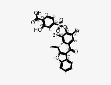 CCc1oc2ccccc2c1C(=O)c1cc(Br)c(OS(=O)(=O)c2ccc(C(=O)O)c(O)c2)c(Br)c1